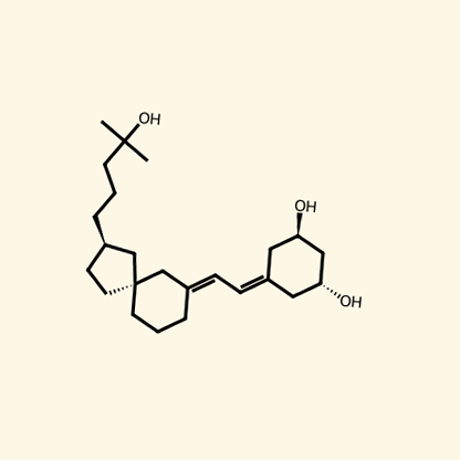 CC(C)(O)CCC[C@@H]1CC[C@]2(CCC/C(=C\C=C3C[C@@H](O)C[C@H](O)C3)C2)C1